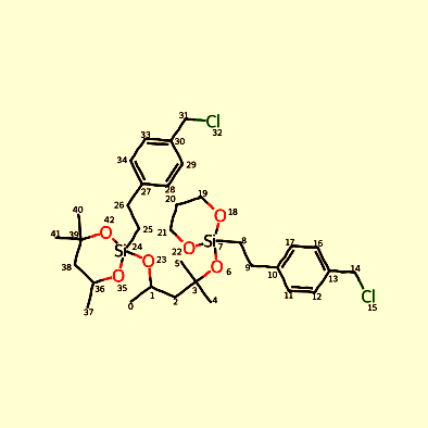 CC(CC(C)(C)O[Si]1(CCc2ccc(CCl)cc2)OCCCO1)O[Si]1(CCc2ccc(CCl)cc2)OC(C)CC(C)(C)O1